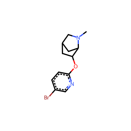 CN1CC2CC(Oc3ccc(Br)cn3)C1C2